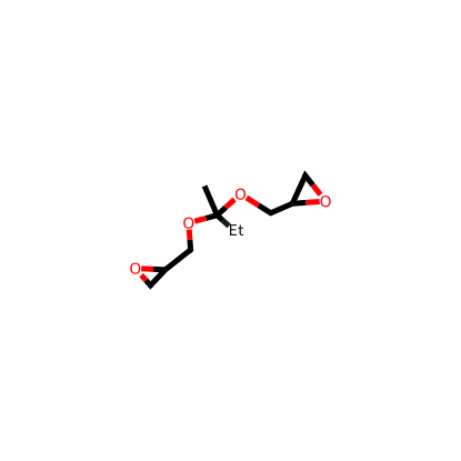 CCC(C)(OCC1CO1)OCC1CO1